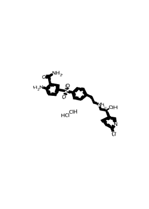 Cl.Cl.NC(=O)c1cc(S(=O)(=O)c2ccc(CCNC[C@@H](O)c3ccc(Cl)nc3)cc2)ccc1N